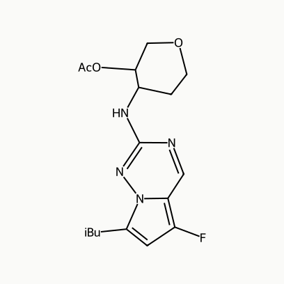 CCC(C)c1cc(F)c2cnc(NC3CCOCC3OC(C)=O)nn12